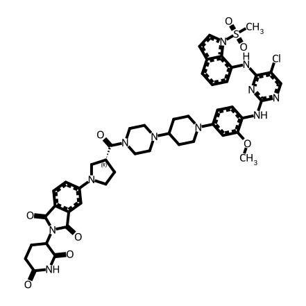 COc1cc(N2CCC(N3CCN(C(=O)[C@@H]4CCN(c5ccc6c(c5)C(=O)N(C5CCC(=O)NC5=O)C6=O)C4)CC3)CC2)ccc1Nc1ncc(Cl)c(Nc2cccc3ccn(S(C)(=O)=O)c23)n1